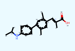 C/C(=C\c1cc(C)c(-c2ccc(NC(C)C)cc2)cc1C)C(=O)O